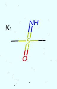 CS(C)(=N)=O.[K]